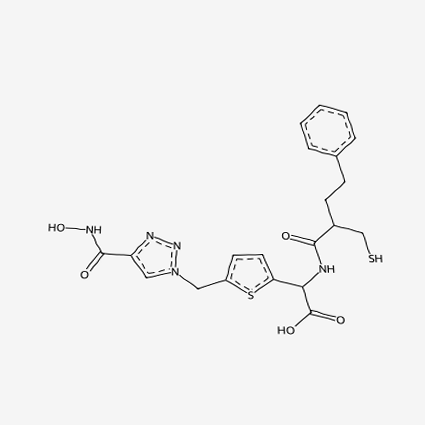 O=C(NO)c1cn(Cc2ccc(C(NC(=O)C(CS)CCc3ccccc3)C(=O)O)s2)nn1